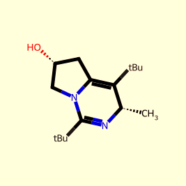 C[C@@H]1N=C(C(C)(C)C)N2C[C@H](O)CC2=C1C(C)(C)C